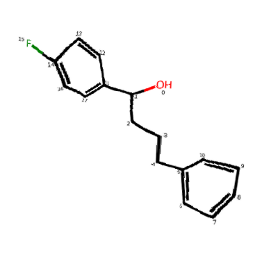 OC(CCCc1ccccc1)c1ccc(F)cc1